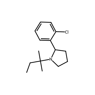 CCC(C)(C)N1CCCC1c1ccccc1Cl